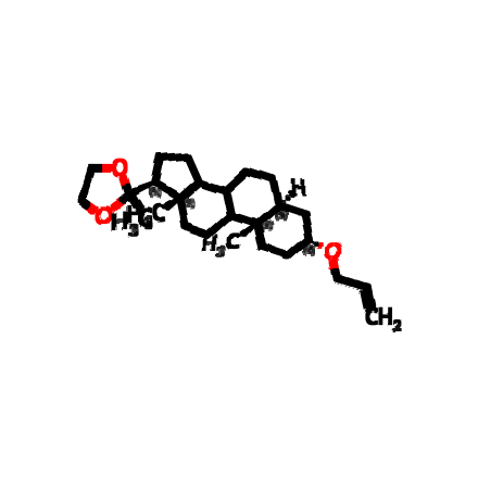 C=CCO[C@@H]1CC[C@]2(C)C3CC[C@@]4(C)C(CC[C@@H]4C4(C)OCCO4)C3CC[C@H]2C1